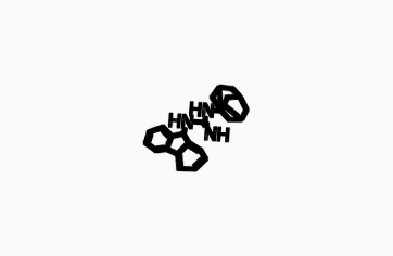 N=C(NC1c2ccccc2-c2ccccc21)NC12CC3CC(CC(C3)C1)C2